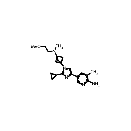 COCCN(C)C12CC(n3cc(-c4cnc(N)c(C)c4)nc3C3CC3)(C1)C2